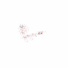 O=[C-]O.O=[C-]O.O=[C-]O.[Al+3].[Al+3].[Al+3].[Al+3].[O-]B([O-])[O-].[O-]B([O-])[O-].[O-]B([O-])[O-]